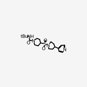 CC(C)(C)NC(=O)N1CCC(S(=O)(=O)N2CCC(c3ccncc3)CC2)CC1